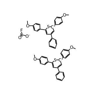 COc1ccc(-c2cc(-c3ccccc3)c[c+](-c3ccc(OC)cc3)s2)cc1.COc1ccc(-c2cc(-c3ccccc3)c[c+](-c3ccc(OC)cc3)s2)cc1.[O-]B([O-])F